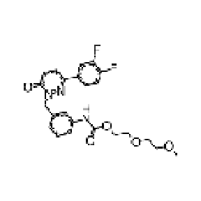 COCCOCCOC(=O)Nc1cccc(Cn2nc(-c3ccc(F)c(F)c3)ccc2=O)c1